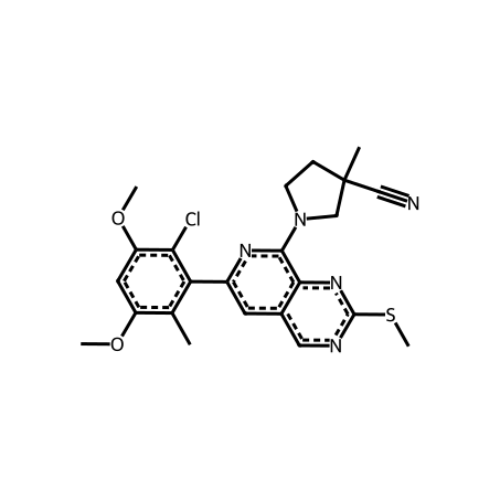 COc1cc(OC)c(Cl)c(-c2cc3cnc(SC)nc3c(N3CCC(C)(C#N)C3)n2)c1C